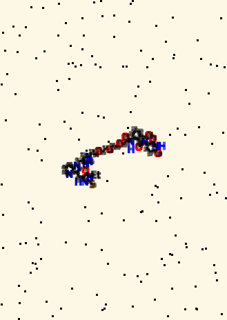 CCN1C(=O)C(=Cc2cn(Cc3cn(CCOCCOCCOCC(=O)Nc4cccc5c4C(=O)N(C4CCC(=O)NC4=O)C5=O)nn3)c3cccnc23)NC1=S